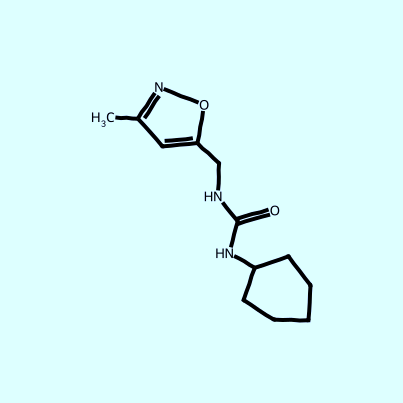 Cc1cc(CNC(=O)NC2CCCCC2)on1